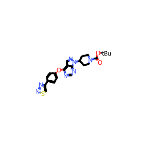 CC(C)(C)OC(=O)N1CCC(n2ncc3c(Oc4ccc(-c5csnn5)cc4)ncnc32)CC1